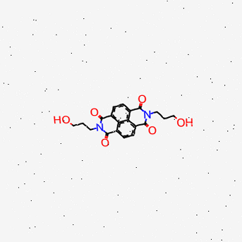 O=C1c2ccc3c4c(ccc(c24)C(=O)N1CCCO)C(=O)N(CCCO)C3=O